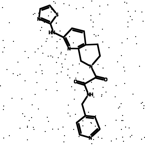 O=C(NCc1ccncc1)C(=O)N1CCc2ccc(Nc3nccs3)nc2C1